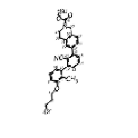 Cc1c(OCCCBr)cccc1-c1cccc(-c2ccc3c(c2)CCN(C(=O)OC(C)(C)C)C3)c1C#N